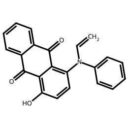 C=CN(c1ccccc1)c1ccc(O)c2c1C(=O)c1ccccc1C2=O